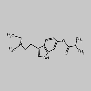 CCN(C)CCc1c[nH]c2cc(OC(=O)C(C)C)ccc12